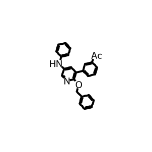 CC(=O)c1cccc(-c2cc(Nc3ccccc3)cnc2OCc2ccccc2)c1